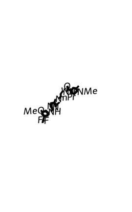 CCC[C@H](C[C@@H](C)NC(=O)c1ccc(NC)c(C)c1)N1Cc2cnc(Nc3cc(OC)cc(C(C)(F)F)c3)nc2C1